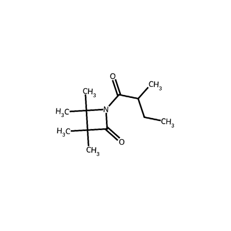 CCC(C)C(=O)N1C(=O)C(C)(C)C1(C)C